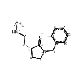 CNCC[C@H]1CCN(Cc2ccccc2)C1=O